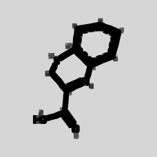 O=C(O)C1=Nc2ccccc2SC1